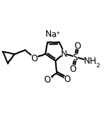 NS(=O)(=O)n1ccc(OCC2CC2)c1C(=O)[O-].[Na+]